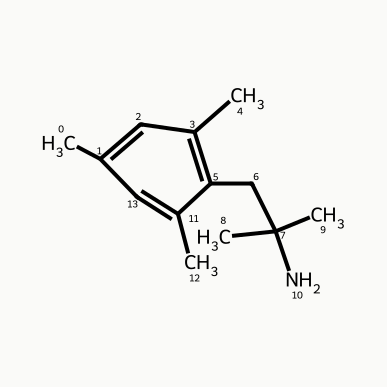 Cc1cc(C)c(CC(C)(C)N)c(C)c1